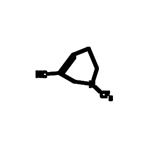 N#CC1=CCCN(C(F)(F)F)C1